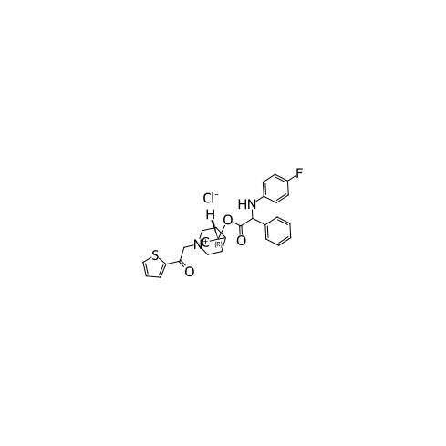 O=C(C[N+]12CCC(CC1)[C@@H](OC(=O)C(Nc1ccc(F)cc1)c1ccccc1)C2)c1cccs1.[Cl-]